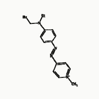 CCC(C)CN(CC)c1ccc(/N=N/c2cc[n+](C)cc2)cc1